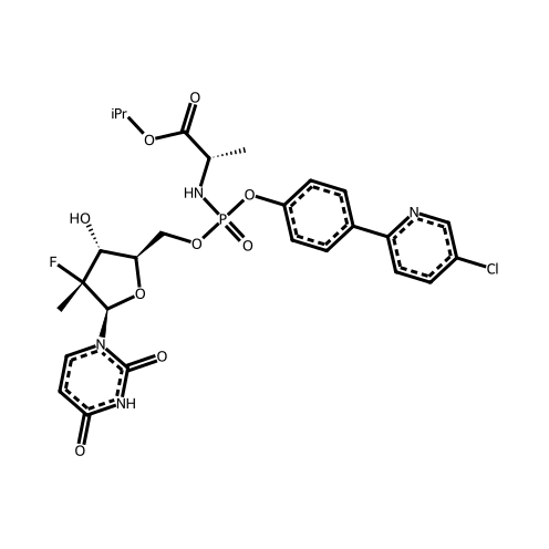 CC(C)OC(=O)[C@H](C)NP(=O)(OC[C@H]1O[C@@H](n2ccc(=O)[nH]c2=O)[C@](C)(F)[C@@H]1O)Oc1ccc(-c2ccc(Cl)cn2)cc1